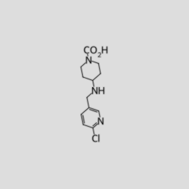 O=C(O)N1CCC(NCc2ccc(Cl)nc2)CC1